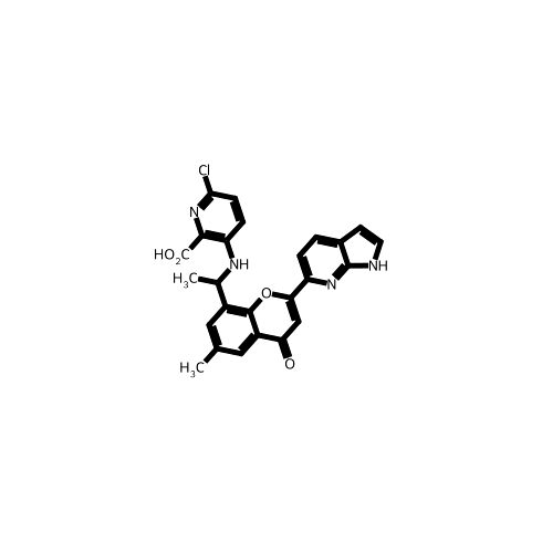 Cc1cc(C(C)Nc2ccc(Cl)nc2C(=O)O)c2oc(-c3ccc4cc[nH]c4n3)cc(=O)c2c1